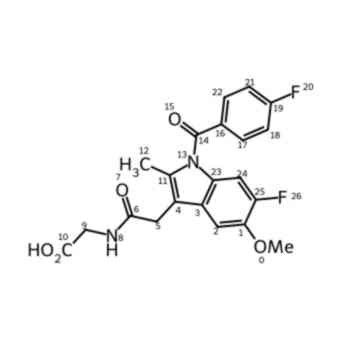 COc1cc2c(CC(=O)NCC(=O)O)c(C)n(C(=O)c3ccc(F)cc3)c2cc1F